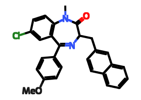 COc1ccc(C2=NC(Cc3ccc4ccccc4c3)C(=O)N(C)c3ccc(Cl)cc32)cc1